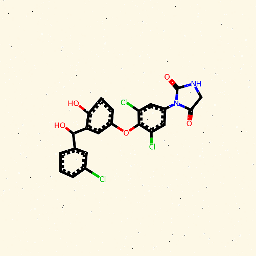 O=C1CNC(=O)N1c1cc(Cl)c(Oc2ccc(O)c(C(O)c3cccc(Cl)c3)c2)c(Cl)c1